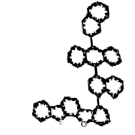 c1ccc2cc(-c3c4ccccc4c(-c4ccc(-c5cccc6oc7c(ccc8c9ccccc9sc87)c56)c5ccccc45)c4ccccc34)ccc2c1